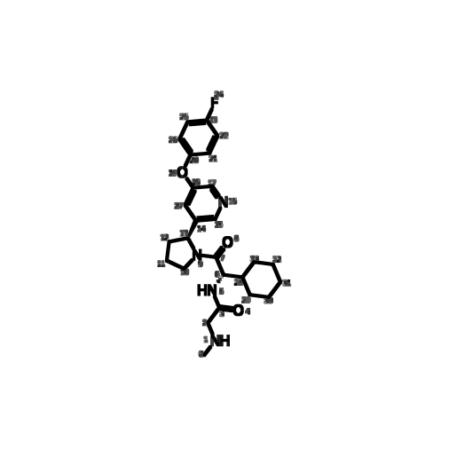 CNCC(=O)N[C@H](C(=O)N1CCC[C@H]1c1cncc(Oc2ccc(F)cc2)c1)C1CCCCC1